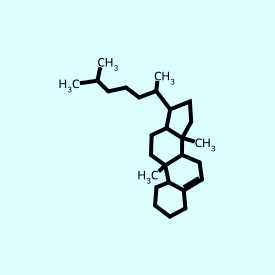 CC(C)CCCC(C)C1CCC2(C)C1CCC1(C)C3CCCCC3=CCC12